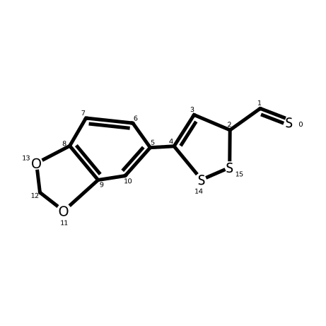 S=CC1C=C(c2ccc3c(c2)OCO3)SS1